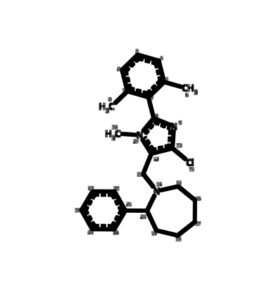 Cc1cccc(C)c1-c1nc(Cl)c(CN2CCCCCC2c2ccccc2)n1C